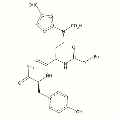 CC(C)(C)OC(=O)N[C@@H](CCN(C(=O)O)c1ncc(C=O)s1)C(=O)N[C@@H](Cc1ccc(O)cc1)C(N)=O